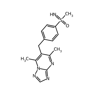 Cc1nc2ncnn2c(C)c1Cc1ccc(S(C)(=N)=O)cc1